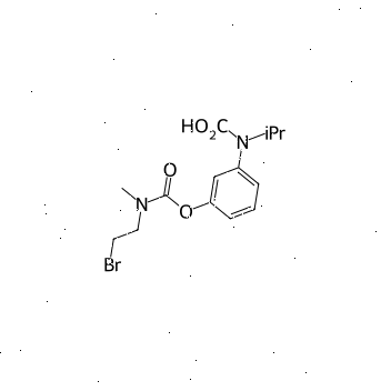 CC(C)N(C(=O)O)c1cccc(OC(=O)N(C)CCBr)c1